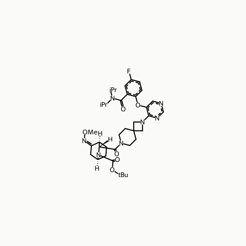 CON=C1C[C@@H]2CC[C@H]1[C@H](C(=O)N1CCC3(CC1)CN(c1ncncc1Oc1ccc(F)cc1C(=O)N(C(C)C)C(C)C)C3)N2C(=O)OC(C)(C)C